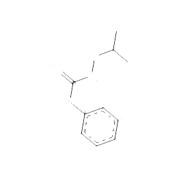 CC(C)OOC(=O)Nc1ccccc1